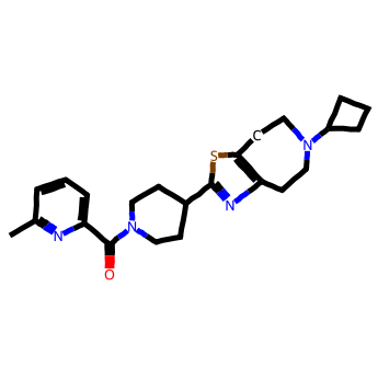 Cc1cccc(C(=O)N2CCC(c3nc4c(s3)CCN(C3CCC3)CC4)CC2)n1